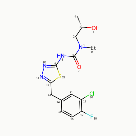 CCN(C[C@H](C)O)C(=O)Nc1nnc(Cc2ccc(F)c(Cl)c2)s1